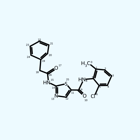 Cc1cccc(Cl)c1NC(=O)c1cnc(NC(=O)Cc2ccccc2)s1